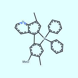 COc1cc2c(cc1C)[Si](c1ccccc1)(c1ccccc1)c1cc(C)c3ncccc3c1-2